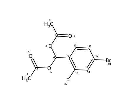 CC(=O)OC(OC(C)=O)c1ccc(Br)cc1F